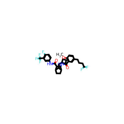 COc1ccc(CCCC(F)F)cc1C(=O)NC1C2CCC(/C2=C/C2CCC2)C1C(=O)Nc1ccc(F)c(C(F)(F)F)c1